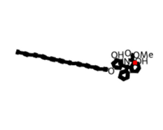 C#CC#CC#CC#CC#CC#CC#CC#CC#CC#CC#COc1cc(O)cc(C(NC(CO)C(=O)OC)(c2ccccc2)c2ccccc2)c1